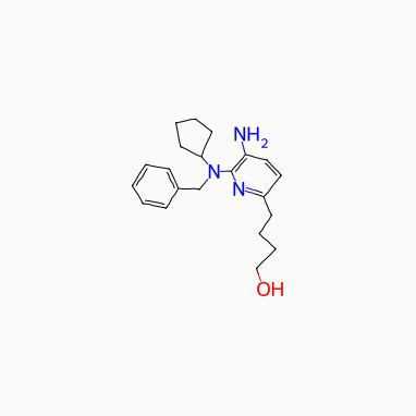 Nc1ccc(CCCCO)nc1N(Cc1ccccc1)C1CCCC1